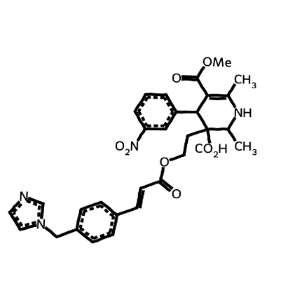 COC(=O)C1=C(C)NC(C)C(CCOC(=O)/C=C/c2ccc(Cn3ccnc3)cc2)(C(=O)O)C1c1cccc([N+](=O)[O-])c1